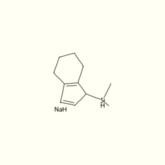 C[SiH](C)C1C=CC2=C1CCCC2.[NaH]